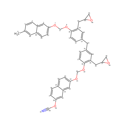 Cc1ccc2cc(OCOc3ccc(Cc4ccc(OCOc5ccc6ccc(OC#N)cc6c5)c(CC5CO5)c4)cc3CC3CO3)ccc2c1